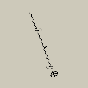 C=C(CCCCCCCCC(=O)OCC12CC3CC(CC(C3)C1)C2)CCCCCCCC(=O)OCCCCCCCCC